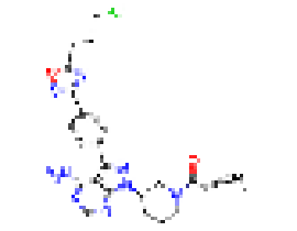 C=CC(=O)N1CCCC(n2nc(-c3ccc(-c4noc(CCCCl)n4)cc3)c3c(N)ncnc32)C1